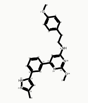 COc1ccc(CCNc2cc(-c3cccc(-c4cc(C)n[nH]4)c3)nc(OC)n2)cc1